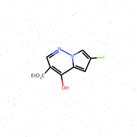 CCOC(=O)c1cnn2cc(F)cc2c1O